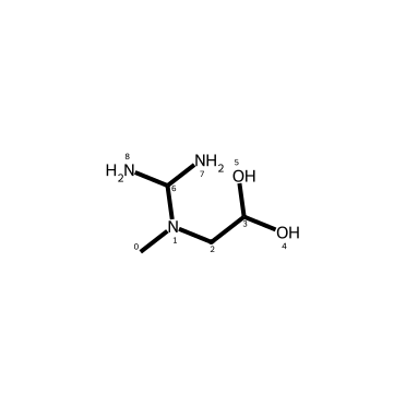 CN(CC(O)O)C(N)N